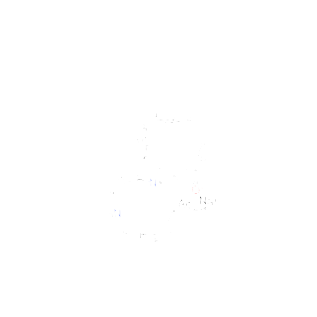 C1=CCCCC(N2CCCCCC=NCCC2)CCCCC1.CC(=O)[O-].[Na+]